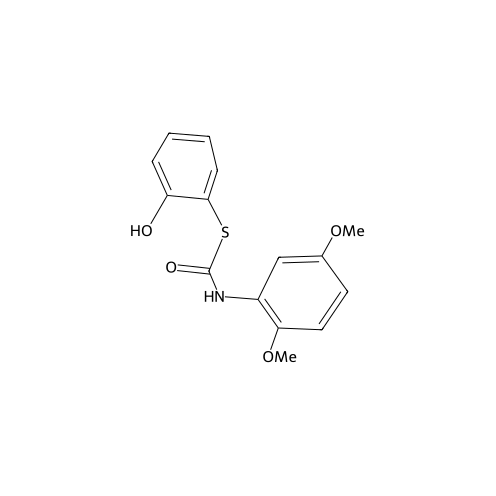 COc1ccc(OC)c(NC(=O)Sc2ccccc2O)c1